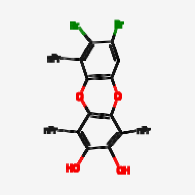 CCCc1c(Br)c(Br)cc2c1Oc1c(CCC)c(O)c(O)c(CCC)c1O2